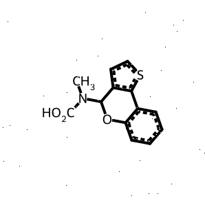 CN(C(=O)O)C1Oc2ccccc2-c2sccc21